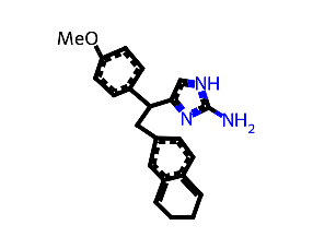 COc1ccc(C(Cc2ccc3c(c2)=CCCC=3)c2c[nH]c(N)n2)cc1